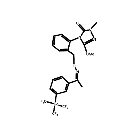 COc1nn(C)c(=O)n1-c1ccccc1CON=C(C)c1ccc[c]([Ge]([C](F)(F)F)([C](F)(F)F)[C](F)(F)F)c1